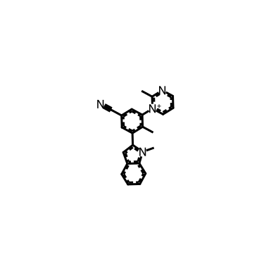 Cc1c(-c2cc3ccccc3n2C)cc(C#N)cc1-[n+]1cccnc1C